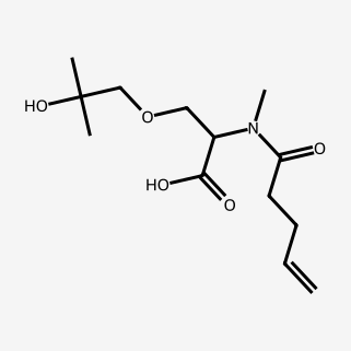 C=CCCC(=O)N(C)C(COCC(C)(C)O)C(=O)O